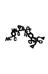 N#Cc1ccc(NC(=O)C2CN(C(=O)Nc3cc4c(=O)n(CC5CC5)c(=O)n(CC5CC5)c4cc3F)CCO2)cc1Cl